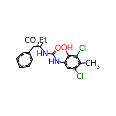 CCOC(=O)C(Cc1ccccc1)NC(=O)Nc1cc(Cl)c(C)c(Cl)c1O